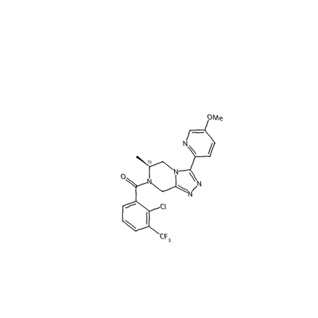 COc1ccc(-c2nnc3n2C[C@H](C)N(C(=O)c2cccc(C(F)(F)F)c2Cl)C3)nc1